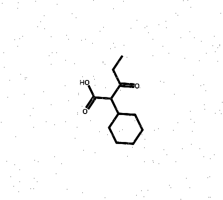 CCC(=O)C(C(=O)O)C1CCCCC1